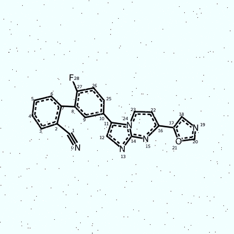 N#Cc1ccccc1-c1cc(-c2cnc3nc(-c4cnco4)ccn23)ccc1F